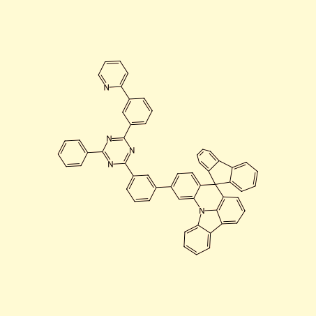 c1ccc(-c2nc(-c3cccc(-c4ccc5c(c4)-n4c6ccccc6c6cccc(c64)C54c5ccccc5-c5ccccc54)c3)nc(-c3cccc(-c4ccccn4)c3)n2)cc1